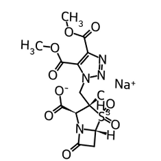 COC(=O)c1nnn(C[C@@]2(C)[C@H](C(=O)[O-])N3C(=O)C[C@H]3S2(=O)=O)c1C(=O)OC.[Na+]